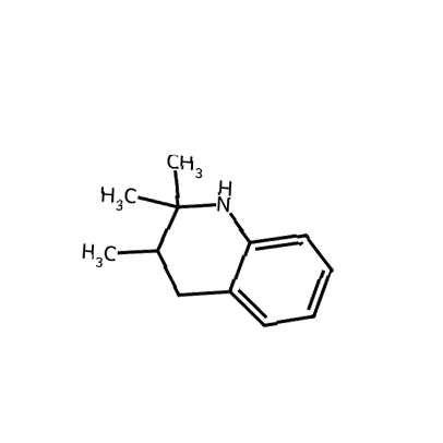 CC1Cc2ccccc2NC1(C)C